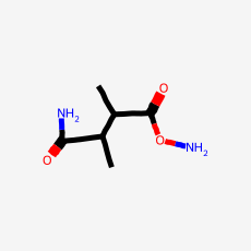 CC(C(N)=O)C(C)C(=O)ON